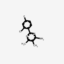 Cc1nc(-c2ccc(F)cc2Cl)nc(N)c1C